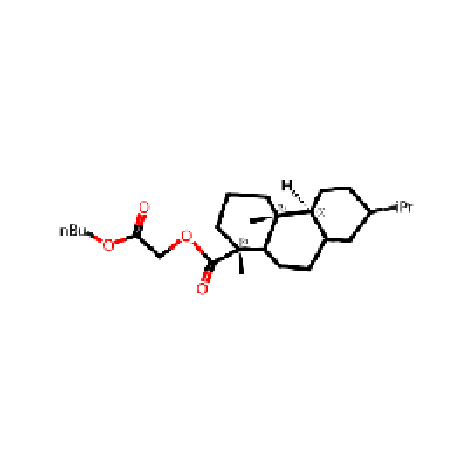 CCCCOC(=O)COC(=O)[C@]1(C)CCC[C@@]2(C)C1CCC1CC(C(C)C)CC[C@@H]12